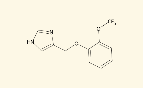 FC(F)(F)Oc1ccccc1OCc1c[nH]cn1